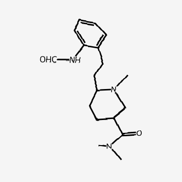 CN(C)C(=O)C1CCC(CCc2ccccc2NC=O)N(C)C1